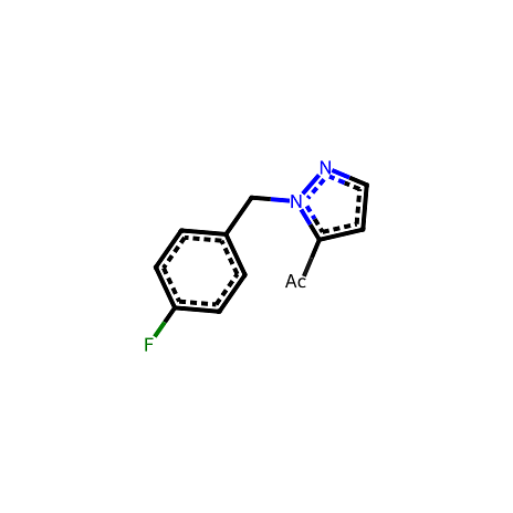 CC(=O)c1ccnn1Cc1ccc(F)cc1